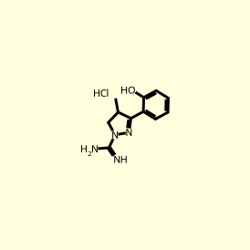 CC1CN(C(=N)N)N=C1c1ccccc1O.Cl